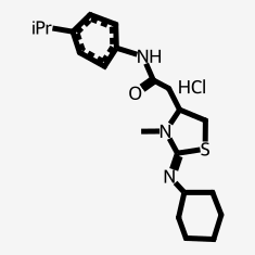 CC(C)c1ccc(NC(=O)CC2CS/C(=N\C3CCCCC3)N2C)cc1.Cl